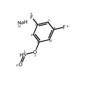 O=[SH]Oc1cc(F)cc(F)c1.[NaH]